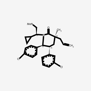 C=CC[C@@]1(C)C[C@H](c2cccc(Cl)c2)[C@@H](c2ccc(Cl)cc2)N([C@H](CNC)C2CC2)C1=O